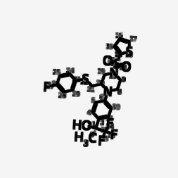 C[C@](O)(c1ccc(N2CCN(S(=O)(=O)c3cccs3)C[C@@H]2CSc2ccc(F)cc2)cc1)C(F)(F)F